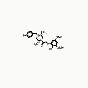 COc1cc(OC)c(Br)c(OCC(=O)N2C[C@H](C)N(Cc3ccc(F)cc3)C[C@H]2C)c1